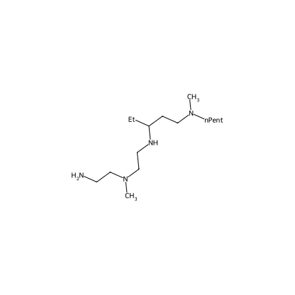 CCCCCN(C)CCC(CC)NCCN(C)CCN